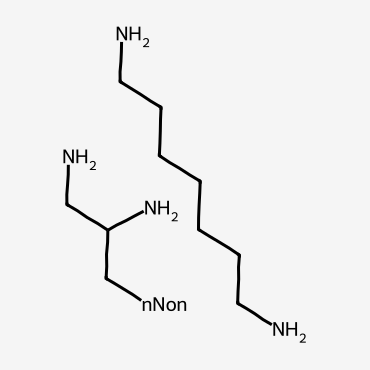 CCCCCCCCCCC(N)CN.NCCCCCCCN